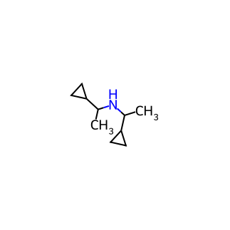 CC(NC(C)C1CC1)C1CC1